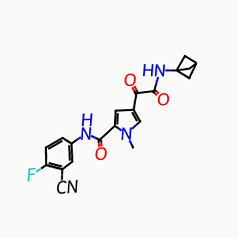 Cn1cc(C(=O)C(=O)NC23CC(C2)C3)cc1C(=O)Nc1ccc(F)c(C#N)c1